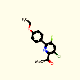 COC(=O)c1nc(-c2ccc(OCC(F)(F)F)cc2)c(F)cc1Cl